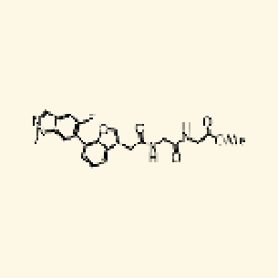 COC(=O)CNC(=O)CNC(=O)Cc1coc2c(-c3cc4c(cnn4C)cc3F)cccc12